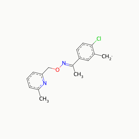 [CH2]c1cc(/C(C)=N/OCc2cccc(C)n2)ccc1Cl